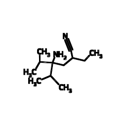 CCC(C#N)CC(N)(C(C)C)C(C)C